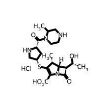 CC1CNCCN1C(=O)[C@@H]1C[C@H](SC2=C(C(=O)O)N3C(=O)[C@H]([C@@H](C)O)[C@H]3[C@H]2C)CN1.Cl